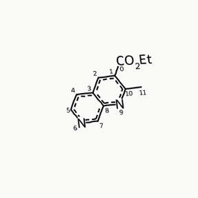 CCOC(=O)c1cc2ccncc2nc1C